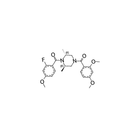 COc1ccc(C(=O)N2[C@H](C)CN(C(=O)c3ccc(OC)cc3OC)C[C@H]2C)c(F)c1